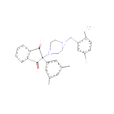 COc1ccc(Br)cc1CN1CCN(C2(c3cc(C)cc(C)c3)C(=O)c3ccccc3C2=O)CC1